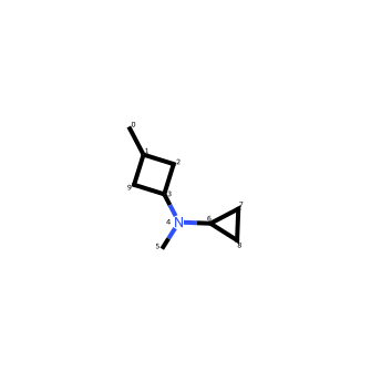 CC1CC(N(C)C2CC2)C1